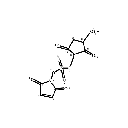 O=C1C=CC(=O)N1OS(=O)(=O)ON1C(=O)CC(S(=O)(=O)O)C1=O